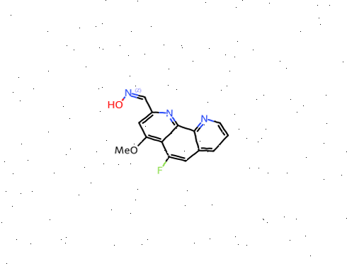 COc1cc(/C=N\O)nc2c1c(F)cc1cccnc12